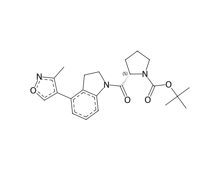 Cc1nocc1-c1cccc2c1CCN2C(=O)[C@@H]1CCCN1C(=O)OC(C)(C)C